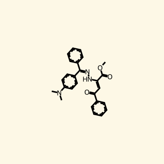 COC(=O)C(=CC(=O)c1ccccc1)NN=C(c1ccccc1)c1ccc(N(C)C)cc1